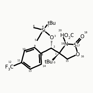 CC(C)(C)[C@]1([C@@H](O[Si](C)(C)C(C)(C)C)c2ccc(C(F)(F)F)cc2)COS(=O)N1C(=O)O